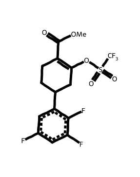 COC(=O)C1=C(OS(=O)(=O)C(F)(F)F)CC(c2cc(F)cc(F)c2F)CC1